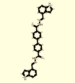 O=C(N/N=C/c1cccc2[nH]ccc12)c1ccc(-c2ccc(C(=O)N/N=C/c3cccc4[nH]ccc34)cc2)cc1